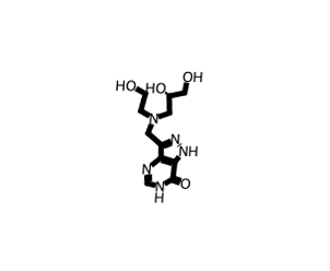 O=c1[nH]cnc2c(CN(CCO)C[C@H](O)CO)n[nH]c12